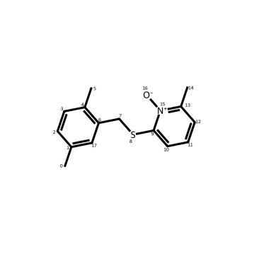 Cc1ccc(C)c(CSc2cccc(C)[n+]2[O-])c1